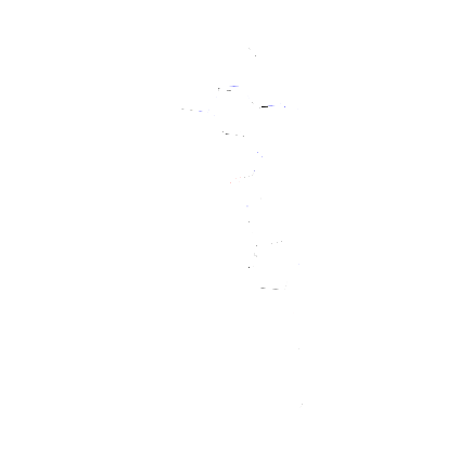 CCOCCOc1ccc(/C=C/C(=O)Nc2c(N)n(CC)c(=O)n(CC)c2=O)cn1